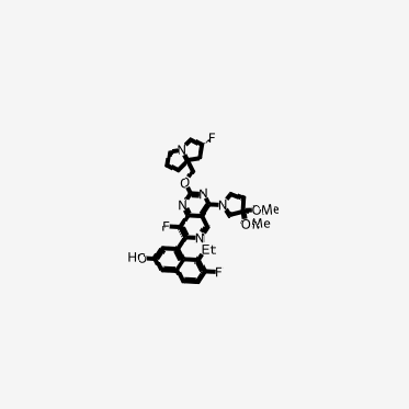 CCc1c(F)ccc2cc(O)cc(-c3ncc4c(N5CCC(OC)(OC)C5)nc(OCC56CCCN5C[C@H](F)C6)nc4c3F)c12